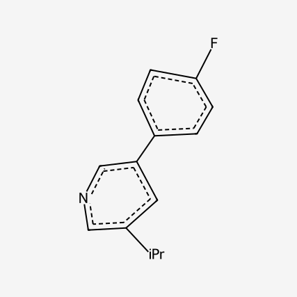 CC(C)c1cncc(-c2ccc(F)cc2)c1